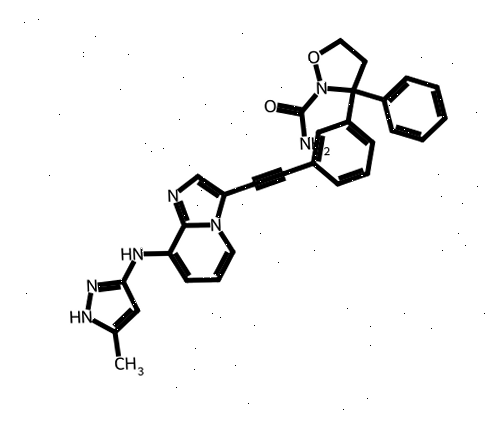 Cc1cc(Nc2cccn3c(C#Cc4cccc(C5(c6ccccc6)CCON5C(N)=O)c4)cnc23)n[nH]1